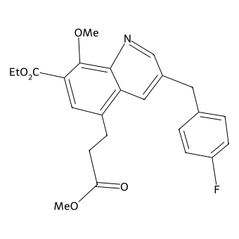 CCOC(=O)c1cc(CCC(=O)OC)c2cc(Cc3ccc(F)cc3)cnc2c1OC